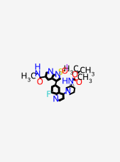 CNC(=O)c1cnc2c(c1)c(-c1cc(F)c3nccc(N4CCC[C@H](NC(=O)OC(C)(C)C)C4)c3c1)cn2SOI